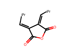 CC(C)C=C1C(=O)OC(=O)C1=CC(C)C